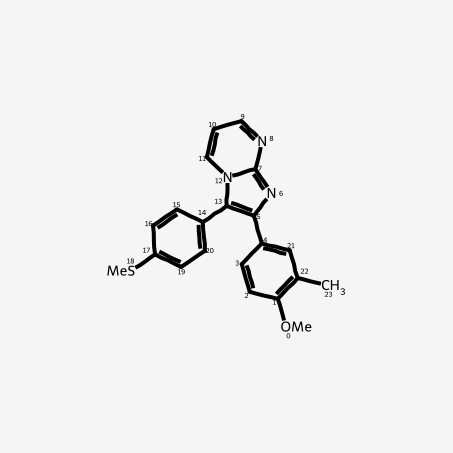 COc1ccc(-c2nc3ncccn3c2-c2ccc(SC)cc2)cc1C